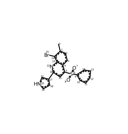 Cc1ccc2c(S(=O)(=O)c3ccccc3)cc(-c3cc[nH]c3)nc2c1Br